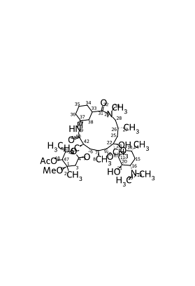 CO[C@]1(C)C[C@H](O[C@H]2[C@H](C)[C@@H](O[C@@H]3O[C@H](C)C[C@H](N(C)C)[C@H]3O)[C@](C)(O)C[C@@H](C)CN(C)C(=O)C3CCC[C@@H](C3)NC(=O)[C@@H]2C)O[C@@H](C)[C@@H]1OC(C)=O